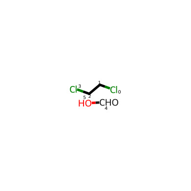 ClCCCl.O=CO